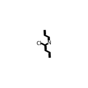 C=C/C=N\C(Cl)=C/C=C